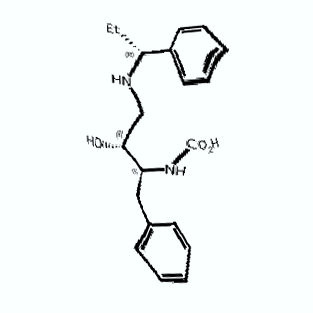 CC[C@@H](NC[C@@H](O)[C@H](Cc1ccccc1)NC(=O)O)c1ccccc1